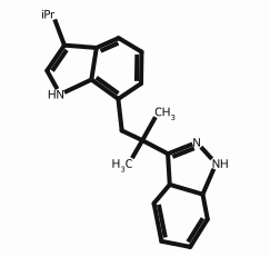 CC(C)c1c[nH]c2c(CC(C)(C)C3=NNC4C=CC=CC34)cccc12